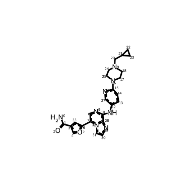 NC(=O)c1coc(-c2cnc(Nc3ccc(N4CCN(CC5CC5)CC4)nc3)c3nccn23)c1